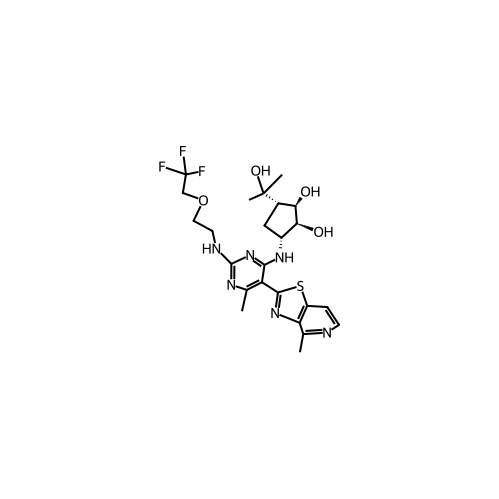 Cc1nc(NCCOCC(F)(F)F)nc(N[C@@H]2C[C@H](C(C)(C)O)[C@@H](O)[C@H]2O)c1-c1nc2c(C)nccc2s1